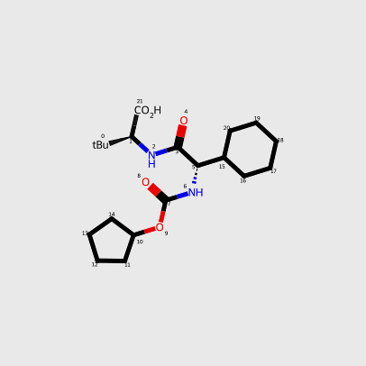 CC(C)(C)[C@H](NC(=O)[C@@H](NC(=O)OC1CCCC1)C1CCCCC1)C(=O)O